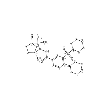 CC1(C)C(NC(=O)c2ccc(N3CCOCC3)c(S(=O)(=O)N3CCOCC3)c2)[C@@]2(C)CC[C@@H]1C2